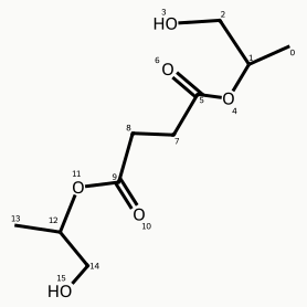 CC(CO)OC(=O)CCC(=O)OC(C)CO